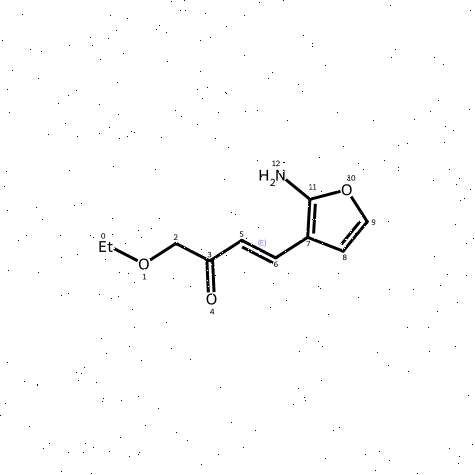 CCOCC(=O)/C=C/c1ccoc1N